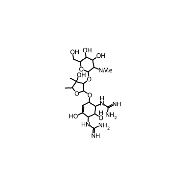 CNC1C(OC2C(OC3C=C(O)C(NC(=N)N)C(O)C3NC(=N)N)OC(C)C2(C)O)OC(CO)C(O)C1O